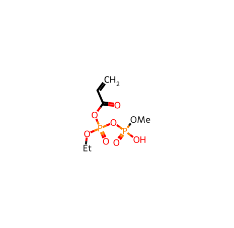 C=CC(=O)OP(=O)(OCC)OP(=O)(O)OC